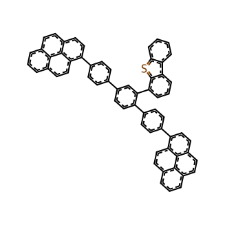 c1cc2ccc3ccc(-c4ccc(-c5ccc(-c6ccc(-c7ccc8ccc9cccc%10ccc7c8c9%10)cc6)c(-c6cccc7c6sc6ccccc67)c5)cc4)c4ccc(c1)c2c34